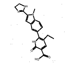 CCc1cc(C(=O)O)c(=O)[nH]c1-c1ccc2c(c1)cc(C1=NCCN1)n2C